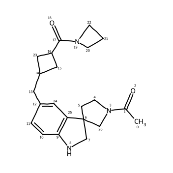 CC(=O)N1CCC2(CNc3ccc(CC4CC(C(=O)N5CCC5)C4)cc32)C1